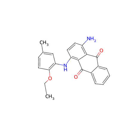 CCOc1ccc(C)cc1Nc1ccc(N)c2c1C(=O)c1ccccc1C2=O